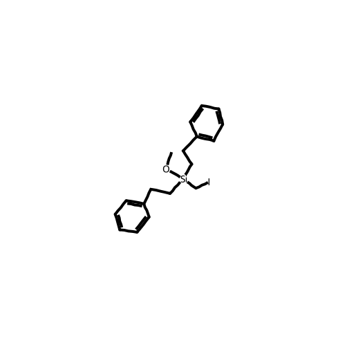 CO[Si](CI)(CCc1ccccc1)CCc1ccccc1